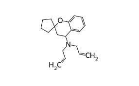 C=CCN(CC=C)C1CC2(CCCC2)Oc2ccccc21